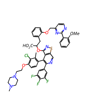 COc1ccccc1-c1nccc(COc2ccccc2CC(Oc2nsc3cnc(-c4cc(F)c(F)c(F)c4)c(-c4ccc(OCCN5CCN(C)CC5)c(Cl)c4C)c23)C(=O)O)n1